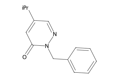 CC(C)c1cnn(Cc2ccccc2)c(=O)c1